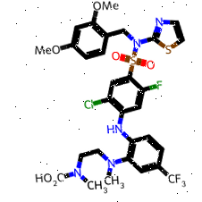 COc1ccc(CN(c2nccs2)S(=O)(=O)c2cc(Cl)c(Nc3ccc(C(F)(F)F)cc3N(C)CCN(C)C(=O)O)cc2F)c(OC)c1